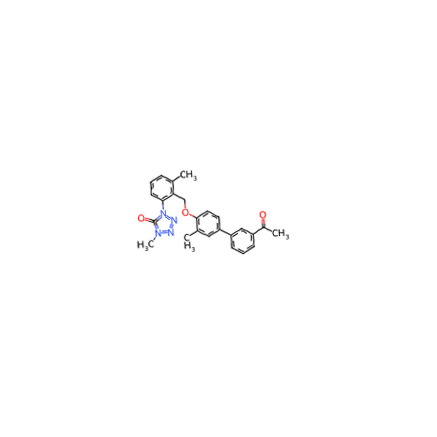 CC(=O)c1cccc(-c2ccc(OCc3c(C)cccc3-n3nnn(C)c3=O)c(C)c2)c1